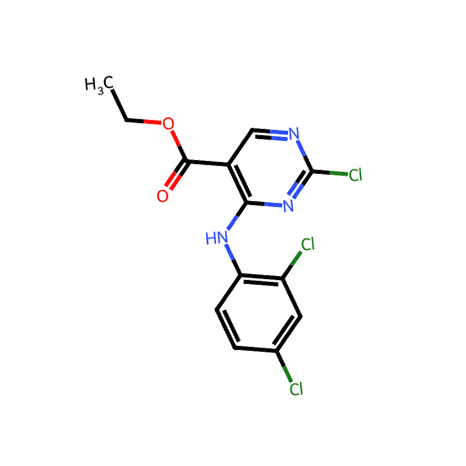 CCOC(=O)c1cnc(Cl)nc1Nc1ccc(Cl)cc1Cl